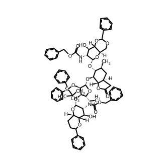 CC[C@H]1O[C@@H](O[C@@H]2[C@H]3OC(=O)C[C@@H]3C[C@H](C)[C@H]2O[C@H]2O[C@@H]3COC(c4ccccc4)O[C@H]3[C@H](O)[C@H]2NC(=O)OCc2ccccc2)[C@H](O[Si](c2ccccc2)(c2ccccc2)C(C)(C)C)[C@@H]1O[C@H]1O[C@H]2CCC(c3ccccc3)O[C@H]2[C@H](O)[C@H]1NC(=O)OCc1ccccc1